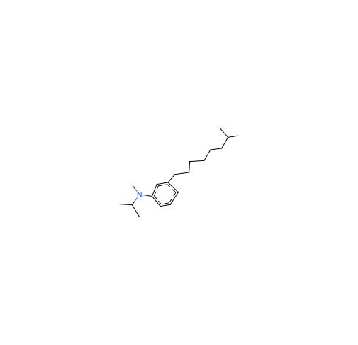 CC(C)CCCCCCc1cccc(N(C)C(C)C)c1